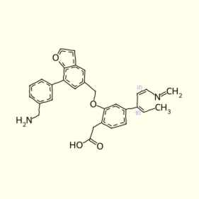 C=N/C=C\C(=C/C)c1ccc(CC(=O)O)c(OCc2cc(-c3cccc(CN)c3)c3occc3c2)c1